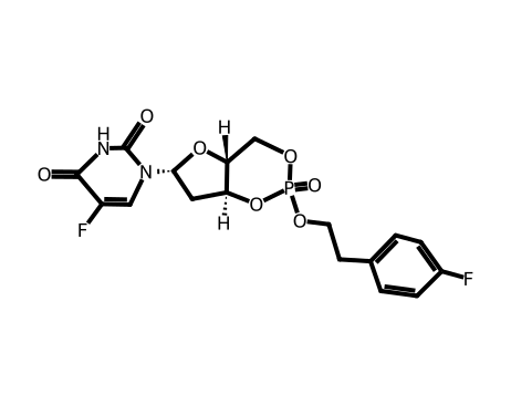 O=c1[nH]c(=O)n([C@H]2C[C@@H]3OP(=O)(OCCc4ccc(F)cc4)OC[C@H]3O2)cc1F